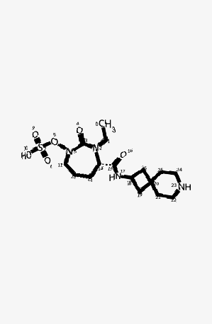 CCN1C(=O)N(OS(=O)(=O)O)CCC[C@H]1C(=O)NC1CC2(CCNCC2)C1